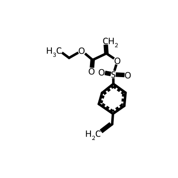 C=Cc1ccc(S(=O)(=O)OC(=C)C(=O)OCC)cc1